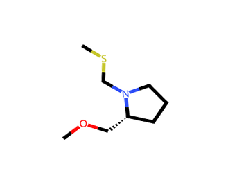 COC[C@H]1CCCN1CSC